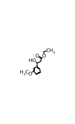 CCOC(=O)CC(O)c1cccc(OC)c1